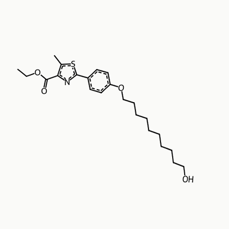 CCOC(=O)c1nc(-c2ccc(OCCCCCCCCCCO)cc2)sc1C